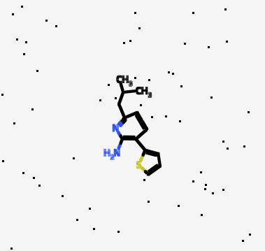 CC(C)Cc1ccc(-c2cccs2)c(N)n1